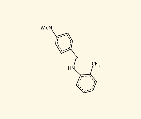 CNc1ccc(SNc2ccccc2C(F)(F)F)cc1